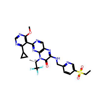 CCS(=O)(=O)c1ccc(CNc2nc3cnc(-c4c(OC)ncnc4C4CC4)nc3n([C@@H](C)C(F)(F)F)c2=O)nc1